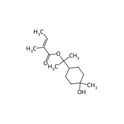 CC=C(C)C(=O)OC(C)(C)C1CCC(C)(O)CC1